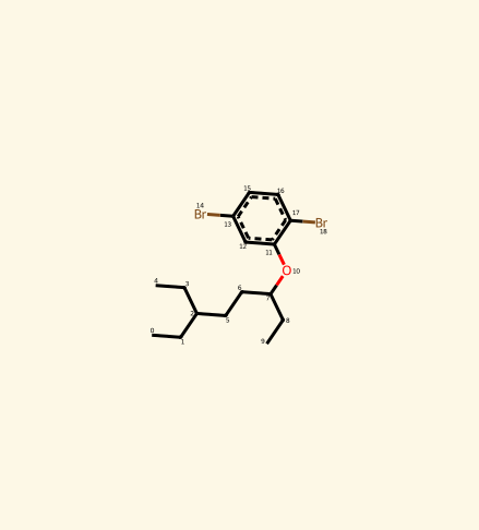 CCC(CC)CCC(CC)Oc1cc(Br)ccc1Br